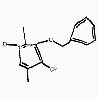 Cc1c[n+]([O-])c(C)c(OCc2ccccc2)c1O